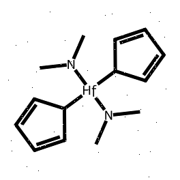 C[N](C)[Hf]([CH]1C=CC=C1)([CH]1C=CC=C1)[N](C)C